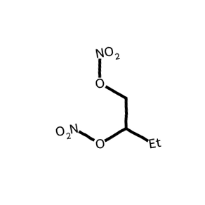 CCC(CO[N+](=O)[O-])O[N+](=O)[O-]